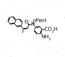 CCCCCN(C(=O)/C=C(/C)c1ccc2ccccc2c1)c1ccc(N)c(C(=O)O)c1